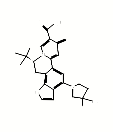 CC(C)(C)[C@@H]1Cc2c(cc(N3CCC(F)(F)C3)c3cc[nH]c23)-c2cc(=O)c(C(=O)O)cn21